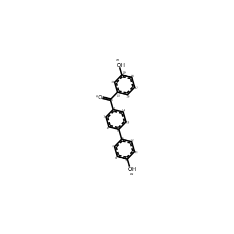 O=C(c1ccc(-c2ccc(O)cc2)cc1)c1cccc(O)c1